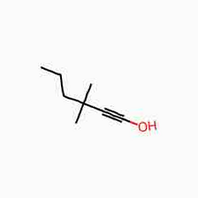 CCCC(C)(C)C#CO